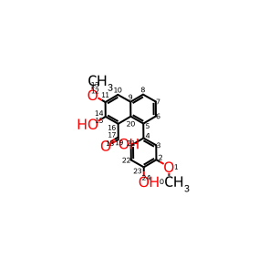 COc1cc(-c2cccc3cc(OC)c(O)c(C(=O)O)c23)ccc1O